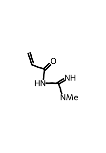 C=CC(=O)NC(=N)NC